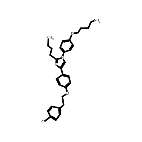 CCCCc1nc(-c2ccc(OCCc3ccc(Cl)cc3)cc2)cn1-c1ccc(OCCCCN)cc1